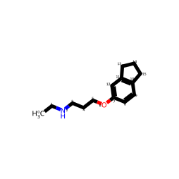 CCNCCCOc1ccc2c(c1)CCC2